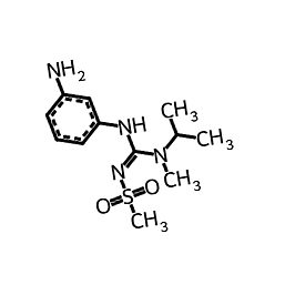 CC(C)N(C)C(=NS(C)(=O)=O)Nc1cccc(N)c1